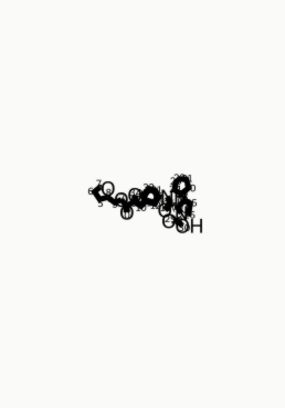 O=C(OCC1CCCO1)c1cc2cc(NC(=O)[C@@H]3[C@H](C4CCCCC4)CCN3C(=O)O)ccc2o1